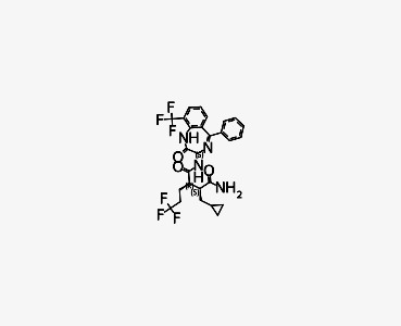 NC(=O)[C@@H](CC1CC1)[C@@H](CCC(F)(F)F)C(=O)N[C@H]1N=C(c2ccccc2)c2cccc(C(F)(F)F)c2NC1=O